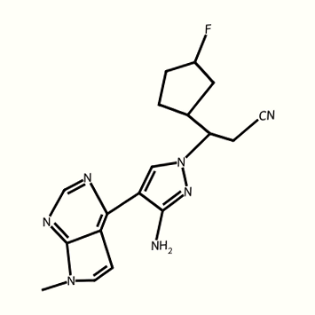 Cn1ccc2c(-c3cn(C(CC#N)C4CCC(F)C4)nc3N)ncnc21